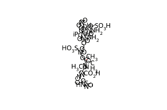 Cc1c(-c2ccc(N3CCc4cccc(C(=O)Nc5nc6ccccc6s5)c4C3)nc2C(=O)O)cnn1CC12CC3(C)CC(C)(C1)CC(OCCN(CCS(=O)(=O)O)C(=O)OCc1ccc(N(C(=O)[C@@H](NC(=O)CN4C(=O)[C@@H](N5C(=O)C=CC5=O)C[C@H]4COCCS(=O)(=O)O)C(C)C)[C@@H](CCCNC(N)=O)C(N)=O)cc1)(C3)C2